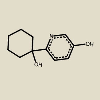 Oc1ccc(C2(O)CCCCC2)nc1